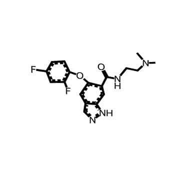 CN(C)CCNC(=O)c1cc2[nH]ncc2cc1Oc1ccc(F)cc1F